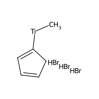 Br.Br.Br.[CH3][Ti][C]1=CC=CC1